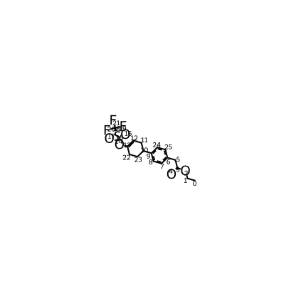 CCOC(=O)Cc1ccc(C2CC=C(OS(=O)(=O)C(F)(F)F)CC2)cc1